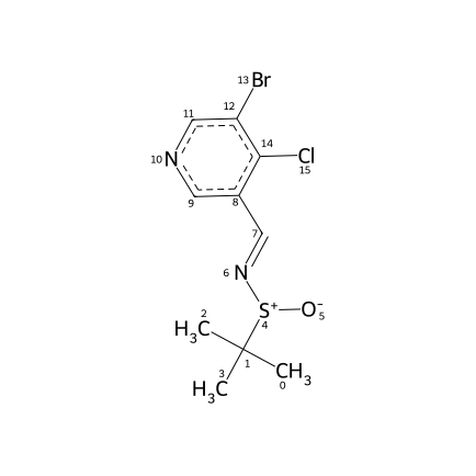 CC(C)(C)[S+]([O-])N=Cc1cncc(Br)c1Cl